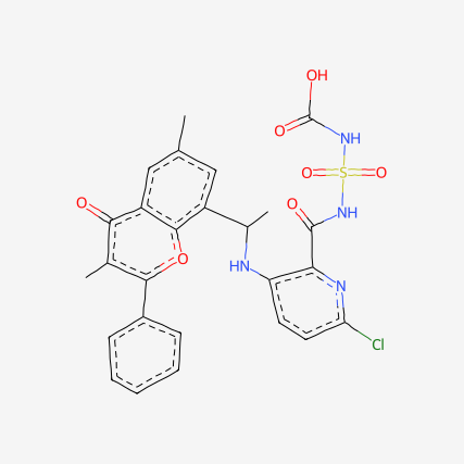 Cc1cc(C(C)Nc2ccc(Cl)nc2C(=O)NS(=O)(=O)NC(=O)O)c2oc(-c3ccccc3)c(C)c(=O)c2c1